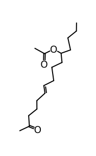 CCCCC(CCCC=CCCCC(C)=O)OC(C)=O